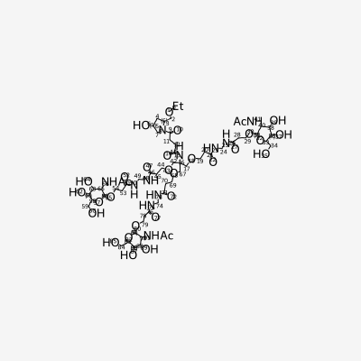 CCOC[C@@H]1C[C@@H](O)CN1C(=O)CCC(=O)NC(COCCC(=O)NCNC(=O)CCO[C@@H]1OC(CO)[C@H](O)C(O)C1NC(C)=O)(COCCC(=O)NCNC(=O)CCO[C@@H]1OC(CO)[C@H](O)C(O)C1NC(C)=O)COCCC(=O)NCNC(=O)CCO[C@@H]1OC(CO)[C@H](O)C(O)C1NC(C)=O